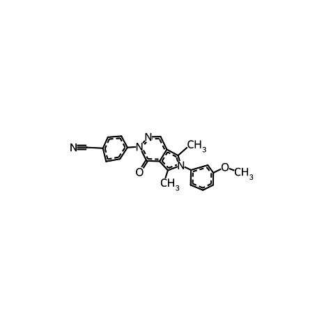 COc1cccc(-n2c(C)c3cnn(-c4ccc(C#N)cc4)c(=O)c3c2C)c1